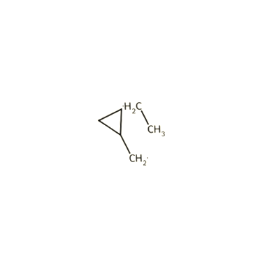 [CH2]C.[CH2]C1CC1